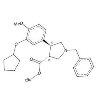 COc1ccc([C@H]2CN(Cc3ccccc3)C[C@@H]2C(=O)OC(C)(C)C)cc1OC1CCCC1